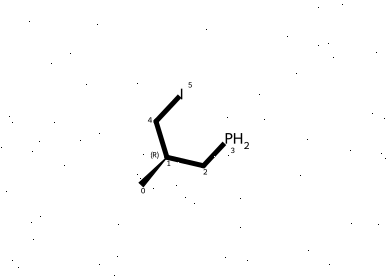 C[C@H](CP)CI